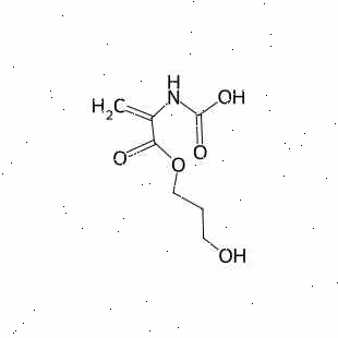 C=C(NC(=O)O)C(=O)OCCCO